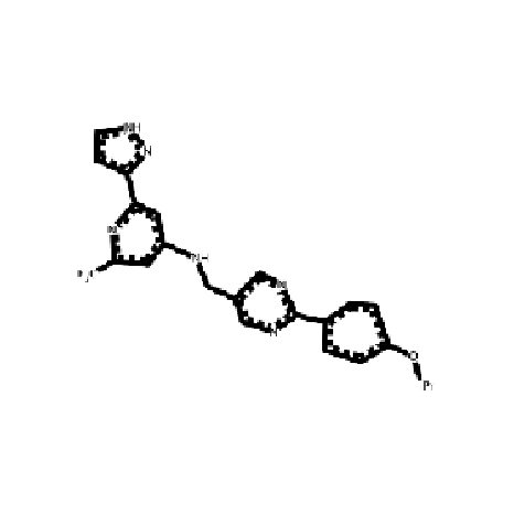 CC(C)Oc1ccc(-c2ncc(CNc3cc(-c4cc[nH]n4)nc(C(F)(F)F)c3)cn2)cc1